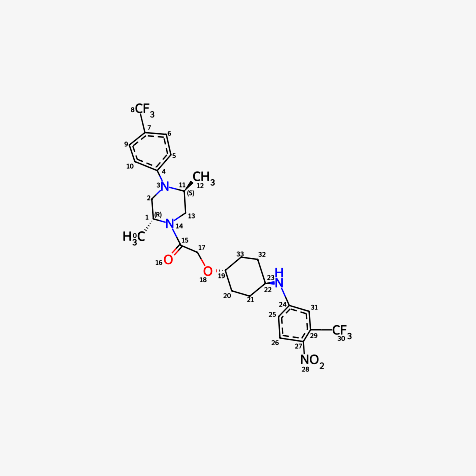 C[C@@H]1CN(c2ccc(C(F)(F)F)cc2)[C@@H](C)CN1C(=O)CO[C@H]1CC[C@H](Nc2ccc([N+](=O)[O-])c(C(F)(F)F)c2)CC1